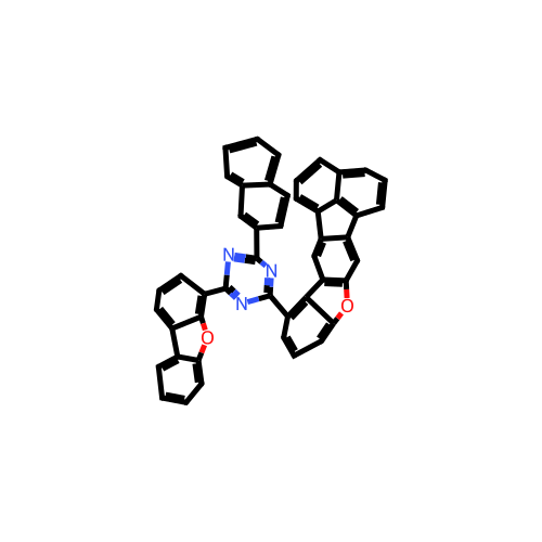 c1ccc2cc(-c3nc(-c4cccc5c4oc4ccccc45)nc(-c4cccc5oc6cc7c(cc6c45)-c4cccc5cccc-7c45)n3)ccc2c1